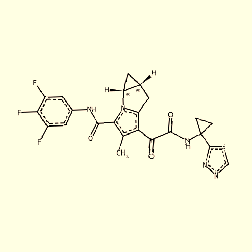 Cc1c(C(=O)C(=O)NC2(c3nncs3)CC2)c2n(c1C(=O)Nc1cc(F)c(F)c(F)c1)[C@@H]1C[C@@H]1C2